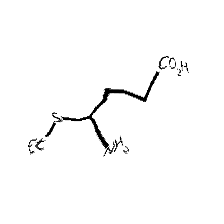 CCSC(N)CCC(=O)O